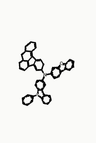 C1=CC2=C3C4=CCC(N(c5ccc6c(c5)oc5ccccc56)c5ccc6c(c5)c5ccccc5n6-c5ccccc5)C=C4C4=C3C(CC=C4)CC2C=C1